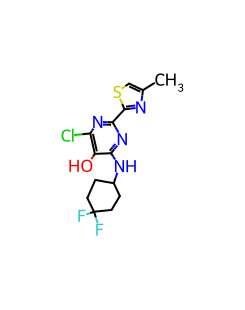 Cc1csc(-c2nc(Cl)c(O)c(NC3CCC(F)(F)CC3)n2)n1